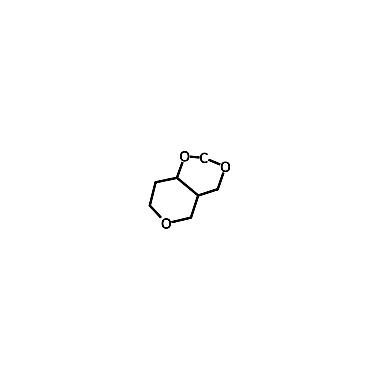 C1CC2OCOCC2CO1